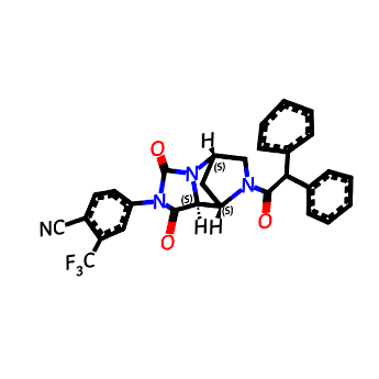 N#Cc1ccc(N2C(=O)[C@@H]3[C@@H]4C[C@@H](CN4C(=O)C(c4ccccc4)c4ccccc4)N3C2=O)cc1C(F)(F)F